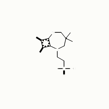 CC1(C)CNc2c(c(=O)c2=O)N(CCP(=O)(O)O)C1